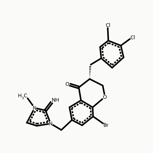 Cn1ccn(Cc2cc(Br)c3c(c2)C(=O)[C@H](Cc2ccc(Cl)c(Cl)c2)CO3)c1=N